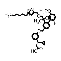 CCCCCCn1cc(COCC(C)(C)c2cc(COc3cccc([C@@H](CC(=O)O)C4CC4)c3)ccc2-c2cc(OC)ccc2F)nn1